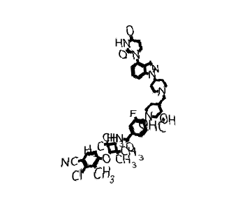 Cc1c(OC2C(C)(C)C(NC(=O)c3ccc(N4CCC(CN5CCC(n6ncc7c(N8CCC(=O)NC8=O)cccc76)CC5)CC4)c(F)c3)C2(C)C)ccc(C#N)c1Cl.O=CO